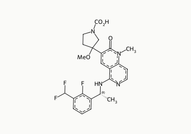 COC1(c2cc3c(N[C@H](C)c4cccc(C(F)F)c4F)nccc3n(C)c2=O)CCN(C(=O)O)C1